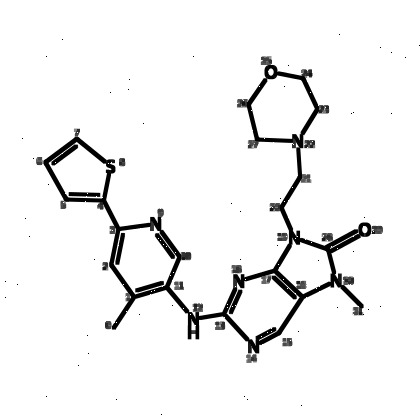 Cc1cc(-c2cccs2)ncc1Nc1ncc2c(n1)n(CCN1CCOCC1)c(=O)n2C